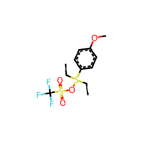 CCS(CC)(OS(=O)(=O)C(F)(F)F)c1ccc(OC)cc1